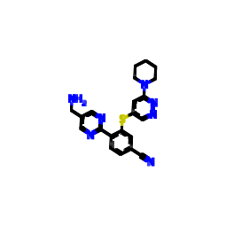 N#Cc1ccc(-c2ncc(CN)cn2)c(Sc2cnnc(N3CCCCC3)c2)c1